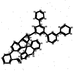 N#Cc1ccccc1-c1ccc2c(c1)C1(c3ccccc3Oc3ccccc31)c1cc(-c3cc(-c4cccc(-c5ccccc5)c4)nc(-c4ccccc4)n3)ccc1-2